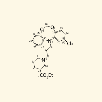 CCOC(=O)C1CCCN(CCCN2C3=C[C@H](Cl)CC=C3OCOc3ccccc32)C1